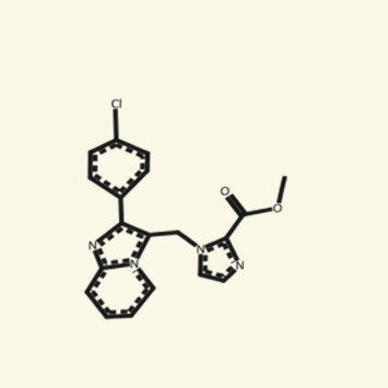 COC(=O)c1nccn1Cc1c(-c2ccc(Cl)cc2)nc2ccccn12